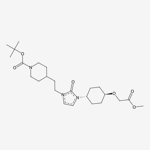 COC(=O)CO[C@H]1CC[C@H](n2ccn(CCC3CCN(C(=O)OC(C)(C)C)CC3)c2=O)CC1